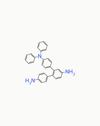 Nc1ccc(-c2ccc(N)cc2-c2ccc(N(c3ccccc3)c3ccccc3)cc2)cc1